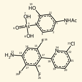 CC(=O)Nc1ccc([As](=O)(O)O)c(O)c1.Nc1cc(F)c(-c2cccc(Cl)n2)c(F)c1F